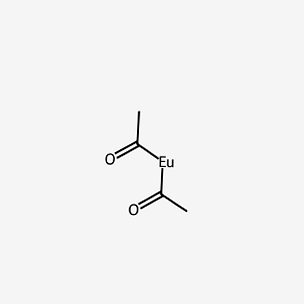 C[C](=O)[Eu][C](C)=O